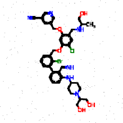 CC(CO)NCc1cc(Cl)c(OCc2cccc(-c3cccc(NC4CCN(C(CO)CO)CC4)c3C=N)c2Br)cc1OCc1cncc(C#N)c1